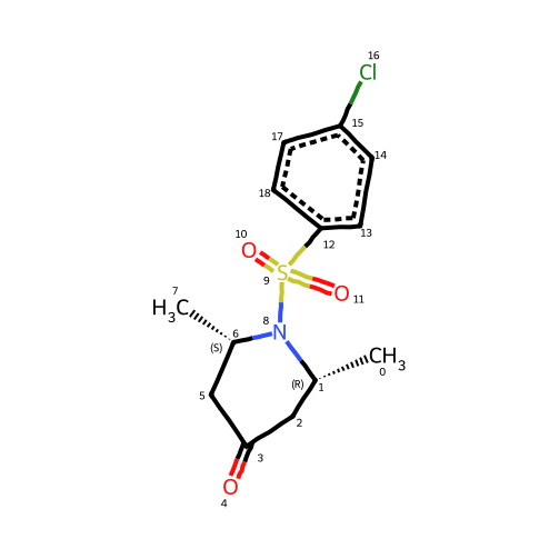 C[C@@H]1CC(=O)C[C@H](C)N1S(=O)(=O)c1ccc(Cl)cc1